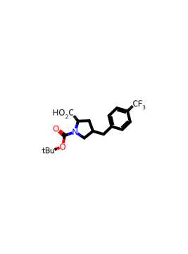 CC(C)(C)OC(=O)N1CC(Cc2ccc(C(F)(F)F)cc2)CC1C(=O)O